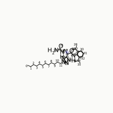 CCCCCCCCCCCCn1nnc(/C(=N\NC(N)=O)C(=O)Nc2c(C(C)C)cccc2C(C)C)n1